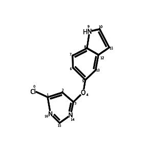 Clc1cc(Oc2ccc3[nH]ccc3c2)ncn1